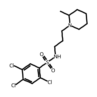 CC1CCCCN1CCCNS(=O)(=O)c1cc(Cl)c(Cl)cc1Cl